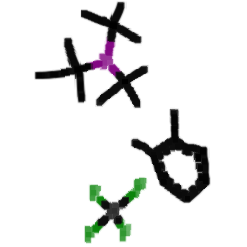 CC(C)(C)P(C(C)(C)C)C(C)(C)C.Cc1ccccc1C.F[B-](F)(F)F